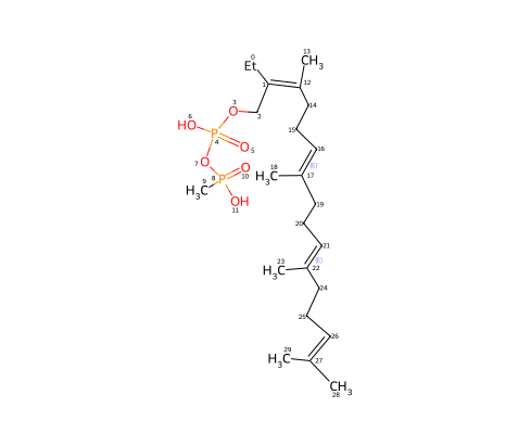 CCC(COP(=O)(O)OP(C)(=O)O)=C(C)CC/C=C(\C)CC/C=C(\C)CCC=C(C)C